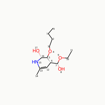 CCCCOC1[C@H]([C@@H](O)OCC)C=C(C)N[C@@H]1O